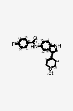 CCN1CC=C(c2c[nH]c3ccc(NC(=O)c4ccc(F)cc4)cc23)CC1